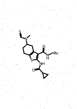 CCCCNC(=O)c1c(NC(=O)C2CC2)sc2c1CC(N(C)C=S)CC2